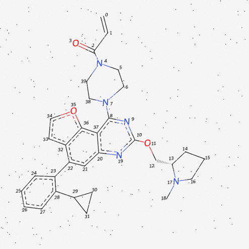 C=CC(=O)N1CCN(c2nc(OC[C@@H]3CCCN3C)nc3cc(-c4ccccc4C4CC4)c4ccoc4c23)CC1